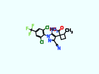 CC1CCC1(C(=O)O)c1c(C#N)nn(-c2c(Cl)cc(C(F)(F)F)cc2Cl)c1N